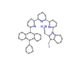 N/C=C\c1c(CI)c2ccccc2n1-c1cccc(-c2cccc(-c3cccc(-c4c5ccccc5c(-c5ccccc5)c5ccccc45)n3)n2)n1